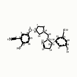 N#Cc1cc(O[C@@H]2CCN(CN3N=CC[C@H]3c3cc(F)cc(F)c3)C2)ccc1F